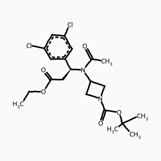 CCOC(=O)C[C@@H](c1cc(Cl)cc(Cl)c1)N(C(C)=O)C1CN(C(=O)OC(C)(C)C)C1